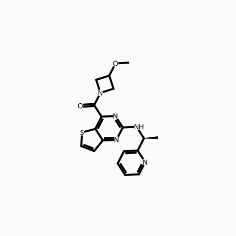 COC1CN(C(=O)c2nc(N[C@@H](C)c3ccccn3)nc3ccsc23)C1